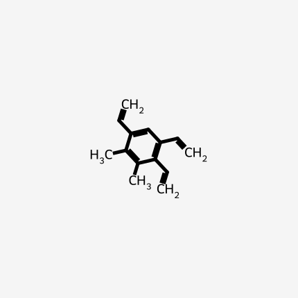 C=Cc1cc(C=C)c(C=C)c(C)c1C